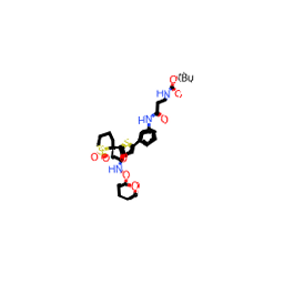 CC(C)(C)OC(=O)NCCC(=O)Nc1cccc(-c2ccc([C@@]3(CC(=O)NOC4CCCCO4)CCCCS3(=O)=O)s2)c1